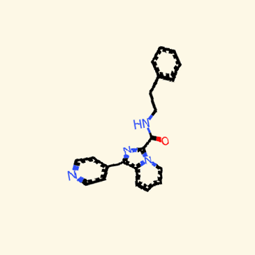 O=C(NCCc1ccccc1)c1nc(-c2ccncc2)c2ccccn12